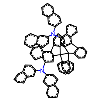 c1ccc(C2(C3(c4ccccc4)c4ccccc4-c4c3cc(N(c3ccc5ccccc5c3)c3ccc5ccccc5c3)c3ccccc43)c3ccccc3-c3c2cc(N(c2ccc4ccccc4c2)c2ccc4ccccc4c2)c2ccccc32)cc1